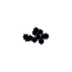 CC1(C)C2=C(CCC(c3cccc(-c4cc(N(c5ccccc5)c5ccc6ccccc6c5)cc(N(c5ccccc5)c5cccc6ccccc56)c4)c3)=C2)c2ccccc21